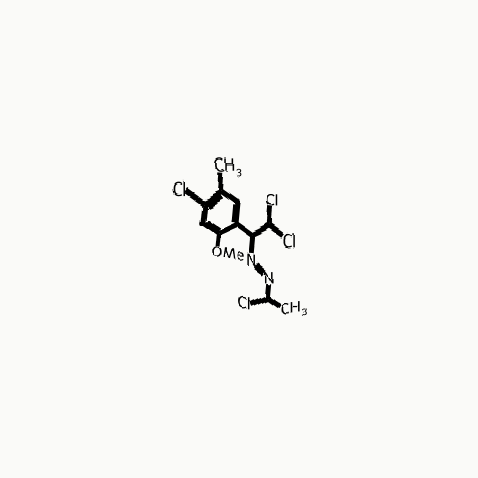 COc1cc(Cl)c(C)cc1C(N=NC(C)Cl)C(Cl)Cl